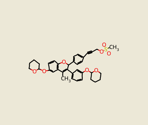 CC1=C(c2cccc(OC3CCCCO3)c2)C(c2ccc(C#CCOS(C)(=O)=O)cc2)Oc2ccc(OC3CCCCO3)cc21